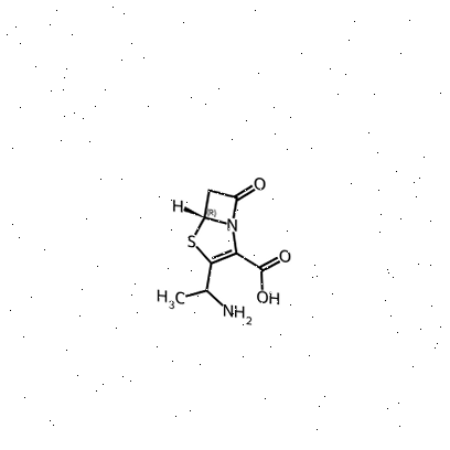 CC(N)C1=C(C(=O)O)N2C(=O)C[C@H]2S1